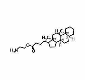 C[C@]12CCC3[C@@H](CC[C@@H]4CCCC[C@]34C)C1CCC2CCCC(=O)OCCN